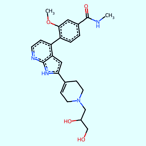 CNC(=O)c1ccc(-c2ccnc3[nH]c(C4=CCN(CC(O)CO)CC4)cc23)c(OC)c1